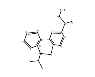 CC(C)[C](Cc1ccc(C(C)CO)cc1)c1ccccc1